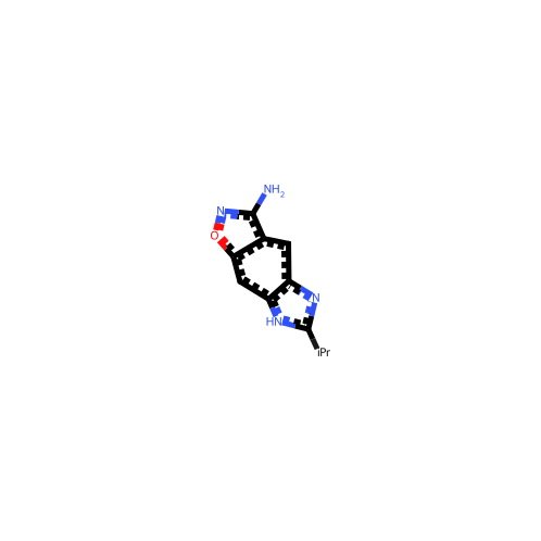 CC(C)c1nc2cc3c(N)noc3cc2[nH]1